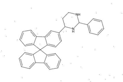 c1ccc(C2NCCC(c3ccc4c(c3)-c3ccccc3C43c4ccccc4-c4ccccc43)N2)cc1